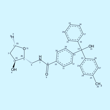 [3H][C@H]1C[C@H](O)[C@@H](CNC(=O)c2ccc(C(O)(c3ccccc3)c3ccc(C)cc3)cc2)O1